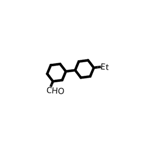 CCC1CCC(C2CCCC(C=O)C2)CC1